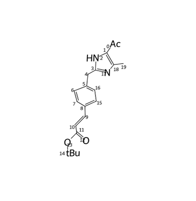 CC(=O)c1[nH]c(Cc2ccc(/C=C/C(=O)OC(C)(C)C)cc2)nc1C